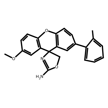 COc1ccc2c(c1)C1(COC(N)=N1)c1cc(-c3ccccc3C)ccc1O2